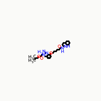 CC(C)COC(=O)CN1Cc2cccc(OCCCCCC(=O)NC3CCC4CCCCC4N3)c2N=C1N